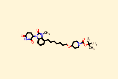 Cn1c(=O)n(C2CCC(=O)NC2=O)c2cccc(CCCCCCCOC3CCN(C(=O)OC(C)(C)C)CC3)c21